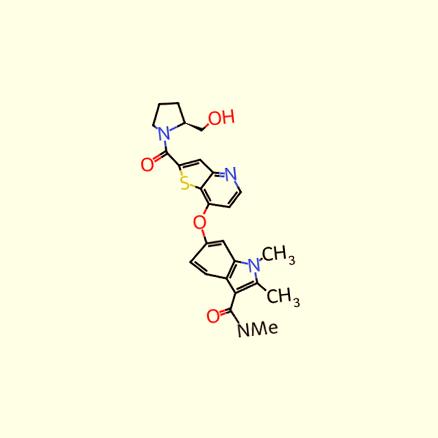 CNC(=O)c1c(C)n(C)c2cc(Oc3ccnc4cc(C(=O)N5CCC[C@H]5CO)sc34)ccc12